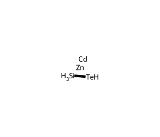 [Cd].[SiH3][TeH].[Zn]